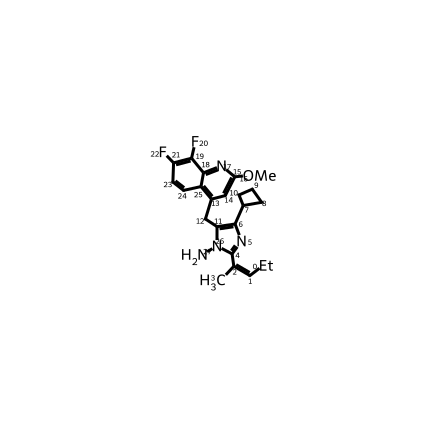 CC/C=C(/C)c1nc(C2CCC2)c(Cc2cc(OC)nc3c(F)c(F)ccc23)n1N